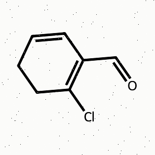 O=CC1=C(Cl)CCC=C1